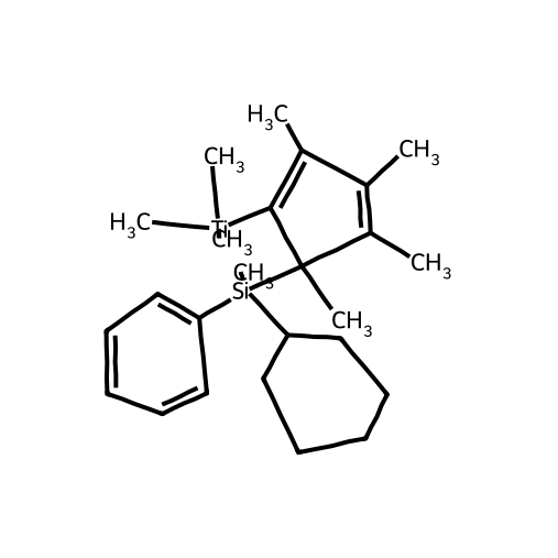 CC1=C(C)C(C)([Si](C)(c2ccccc2)C2CCCCC2)[C]([Ti]([CH3])([CH3])[CH3])=C1C